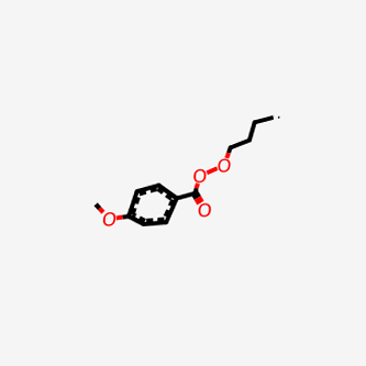 [CH2]CCCOOC(=O)c1ccc(OC)cc1